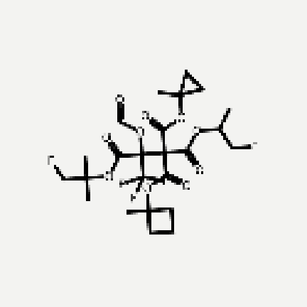 CC(CF)OC(=O)C(C(=O)OC1(C)CCC1)(C(=O)OC1(C)CC1)C(O[C]=O)(C(=O)OC(C)(C)CF)C(F)(F)F